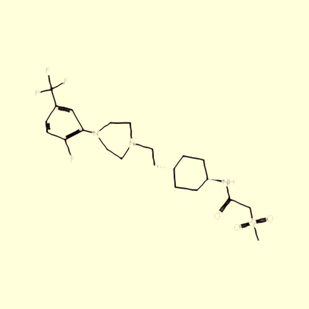 CS(=O)(=O)CC(=O)N[C@H]1CC[C@H](CCN2CCN(c3cc(C(F)(F)F)ccc3F)CC2)CC1